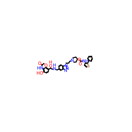 O=C1COc2c(C(O)CNCc3ccc4c(c3)nnn4CCCN3CCC(OC(=O)Nc4ccsc4-c4ccccc4)CC3)ccc(O)c2N1